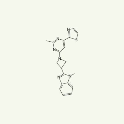 Cc1nc(-c2nccs2)cc(N2CC(c3nc4ccccc4n3C)C2)n1